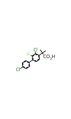 CC(C)(C(=O)O)c1ccc(-c2ccc(Cl)cc2)c(F)c1Cl